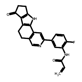 C=CC(=O)Nc1cc(-c2cc3c(cn2)CCc2c-3[nH]c3c2C(=O)CC3)ccc1F